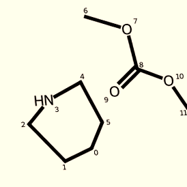 C1CCNCC1.COC(=O)OC